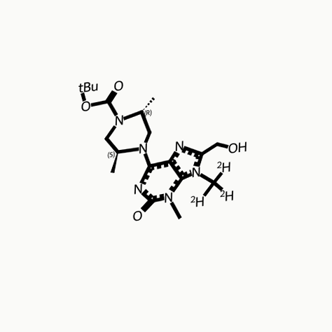 [2H]C([2H])([2H])n1c(CO)nc2c(N3C[C@@H](C)N(C(=O)OC(C)(C)C)C[C@@H]3C)nc(=O)n(C)c21